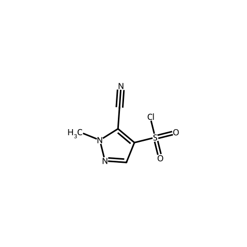 Cn1ncc(S(=O)(=O)Cl)c1C#N